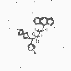 Cn1cc(N(C2CC3(COC3)C2)S(=O)(=O)NC(=O)Nc2c3c(cc4c2CCC4)CCC3)cn1